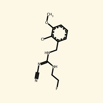 COc1cccc(CN/C(=N/C#N)NCCF)c1Cl